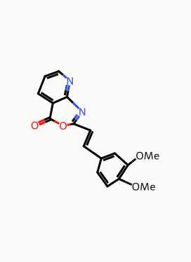 COc1ccc(/C=C/c2nc3ncccc3c(=O)o2)cc1OC